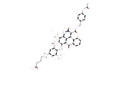 CC(=O)Nc1ccc(COC(=O)c2c3c4c(c(Nc5c(S(=O)(=O)O)cc(S(=O)(=O)CCCC(=O)O)cc5S(=O)(=O)O)cc(S(=O)(=O)O)c4[nH]c2=O)C(=O)c2ccccc2-3)cc1